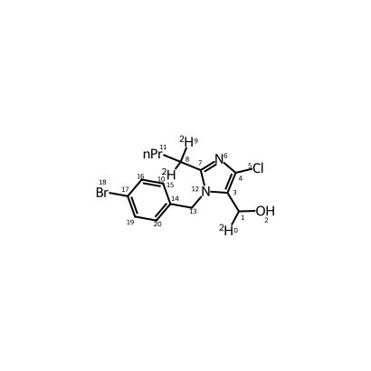 [2H]C(O)c1c(Cl)nc(C([2H])([2H])CCC)n1Cc1ccc(Br)cc1